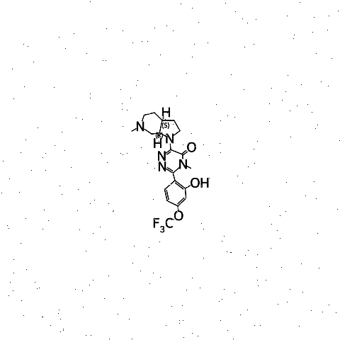 CN1CC[C@H]2CCN(c3nnc(-c4ccc(OC(F)(F)F)cc4O)n(C)c3=O)[C@H]2C1